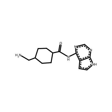 NCC1CCC(C(=O)Nc2ncnc3[nH]ccc23)CC1